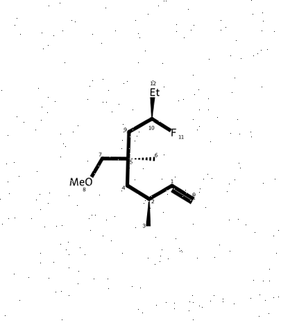 C=C[C@@H](C)C[C@@](C)(COC)C[C@H](F)CC